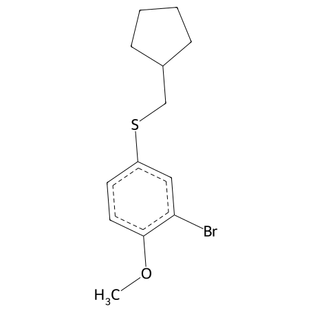 COc1ccc(SCC2CCCC2)cc1Br